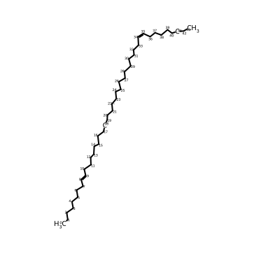 CCCCCCCCC=CCCCCCCCCCCCC[CH]CCCCCCCCCCC/C=C\CCCCCCCC